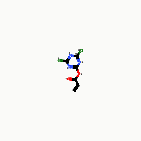 C=CC(=O)Oc1nc(Cl)nc(Cl)n1